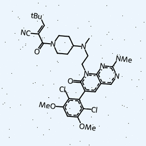 CNc1ncc2cc(-c3c(Cl)c(OC)cc(OC)c3Cl)c(=O)n(CCN(C)C3CCN(C(=O)C(C#N)=CC(C)(C)C)CC3)c2n1